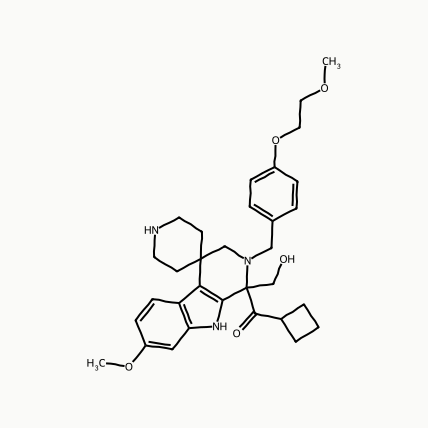 COCCOc1ccc(CN2CC3(CCNCC3)c3c([nH]c4cc(OC)ccc34)C2(CO)C(=O)C2CCC2)cc1